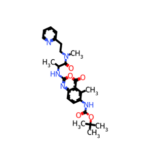 Cc1c(NC(=O)OC(C)(C)C)ccc2nc(NC(C)C(=O)N(C)CCc3ccccn3)oc(=O)c12